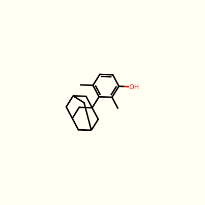 Cc1ccc(O)c(C)c1C12CC3CC(CC(C3)C1)C2